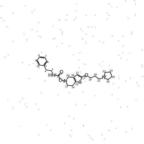 O=C(NCCc1ccccc1)ON1CCc2sc(OCCCN3CCCC3)cc2C1